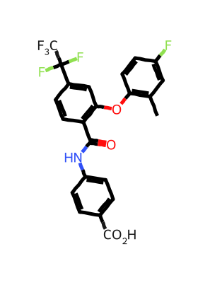 Cc1cc(F)ccc1Oc1cc(C(F)(F)C(F)(F)F)ccc1C(=O)Nc1ccc(C(=O)O)cc1